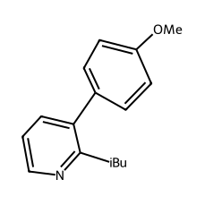 CCC(C)c1ncccc1-c1ccc(OC)cc1